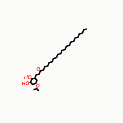 CCCCCCCCCCCCCCCCCCCCCC(=O)CCC1C[C@@H](OC(C)C)C[C@@H](O)[C@H]1O